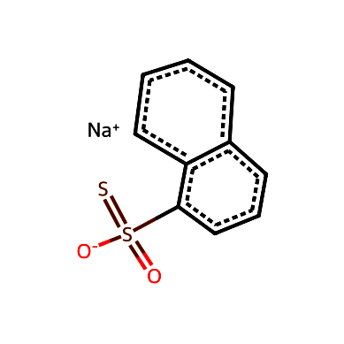 O=S([O-])(=S)c1cccc2ccccc12.[Na+]